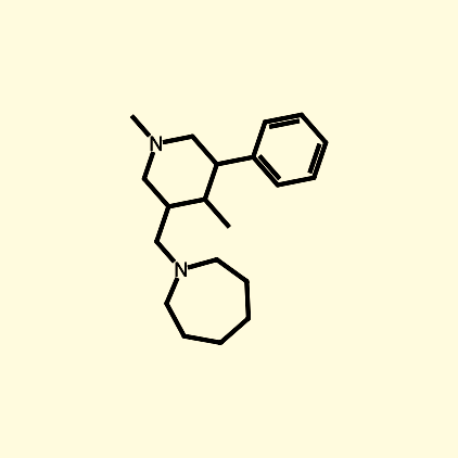 CC1C(CN2CCCCCC2)CN(C)CC1c1ccccc1